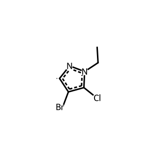 CCn1n[c]c(Br)c1Cl